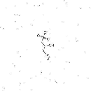 O=S(=O)([O-])CC(O)CBr.[Li+]